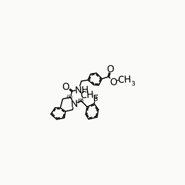 COC(=O)c1ccc(CNC(=O)[C@@H]2Cc3ccccc3CN2[C@H](C)c2ccccc2F)cc1